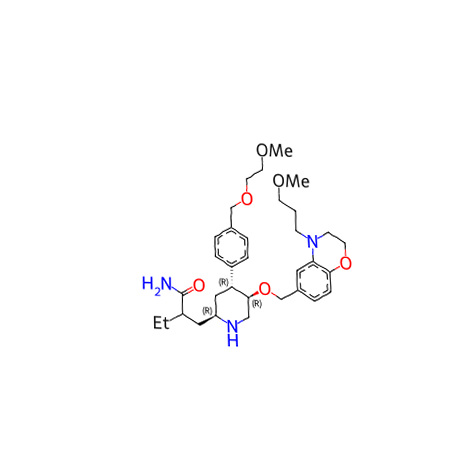 CCC(C[C@H]1C[C@H](c2ccc(COCCOC)cc2)[C@@H](OCc2ccc3c(c2)N(CCCOC)CCO3)CN1)C(N)=O